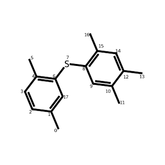 Cc1ccc(C)c(Sc2cc(C)c(C)cc2C)c1